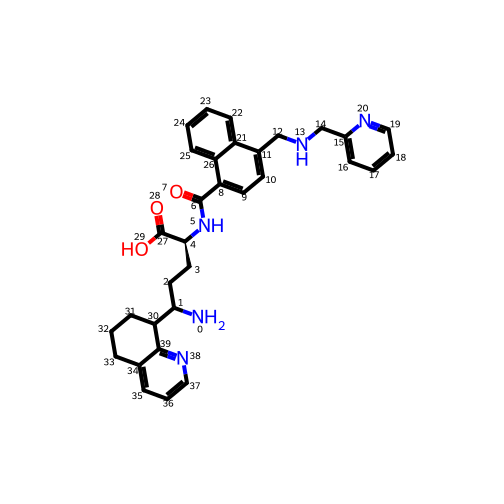 NC(CC[C@H](NC(=O)c1ccc(CNCc2ccccn2)c2ccccc12)C(=O)O)C1CCCc2cccnc21